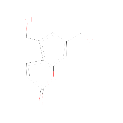 O=c1ccc2c(CO)cc(CO)cc2o1